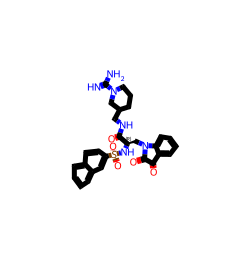 N=C(N)N1CCCC(CNC(=O)[C@@H](CN2C(=O)C(=O)c3ccccc32)NS(=O)(=O)c2ccc3ccccc3c2)C1